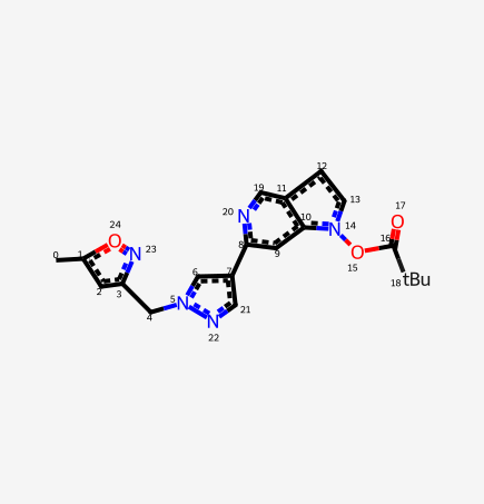 Cc1cc(Cn2cc(-c3cc4c(ccn4OC(=O)C(C)(C)C)cn3)cn2)no1